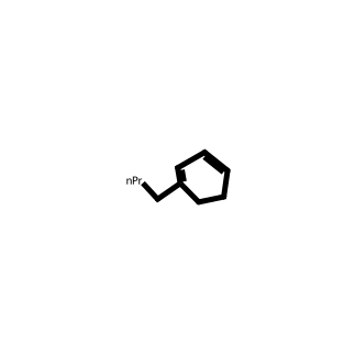 CCCCC1=CC=CCC1